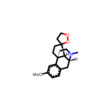 COc1ccc2c(c1)[C@]13CCN(C)[C@H](C2)[C@@H]1CC1(CCOO1)CC3